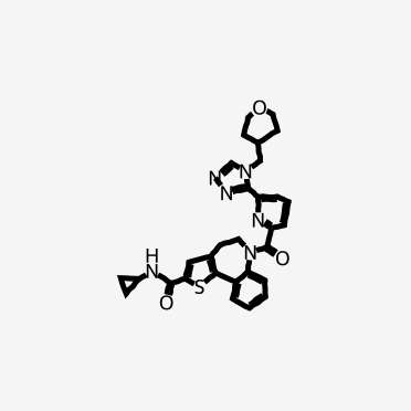 O=C(NC1CC1)c1cc2c(s1)-c1ccccc1N(C(=O)c1cccc(-c3nncn3CC3CCOCC3)n1)CC2